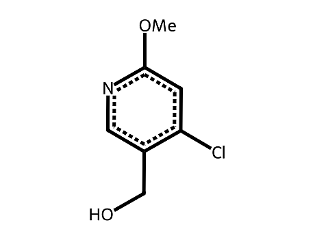 COc1cc(Cl)c(CO)cn1